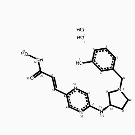 Cl.Cl.N#Cc1cccc(CN2CC[C@@H](Nc3cnc(C=CC(=O)NO)cn3)C2)c1